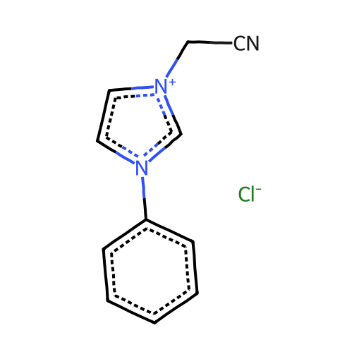 N#CC[n+]1ccn(-c2ccccc2)c1.[Cl-]